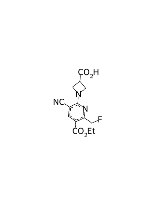 CCOC(=O)c1cc(C#N)c(N2CC(C(=O)O)C2)nc1CF